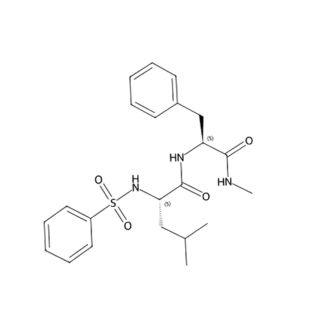 CNC(=O)[C@H](Cc1ccccc1)NC(=O)[C@H](CC(C)C)NS(=O)(=O)c1ccccc1